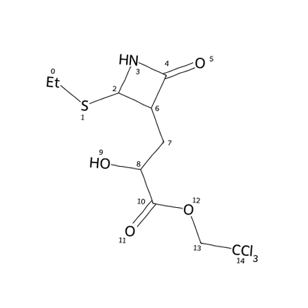 CCSC1NC(=O)C1CC(O)C(=O)OCC(Cl)(Cl)Cl